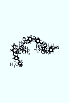 Cc1ncsc1-c1ccc(CNC(=O)[C@@H]2CCCN2C(=O)[C@@H](NC(=O)CNC(=O)c2ccc(Oc3ccc(C(=O)N[C@H]4C(C)(C)[C@H](Oc5ccc(C#N)c(Cl)c5)C4(C)C)cc3)cc2)C(C)(C)C)cc1